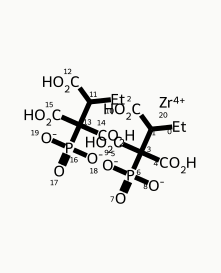 CCC(C(=O)O)C(C(=O)O)(C(=O)O)P(=O)([O-])[O-].CCC(C(=O)O)C(C(=O)O)(C(=O)O)P(=O)([O-])[O-].[Zr+4]